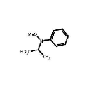 CON(c1ccccc1)[C@@H](C)C(=O)O